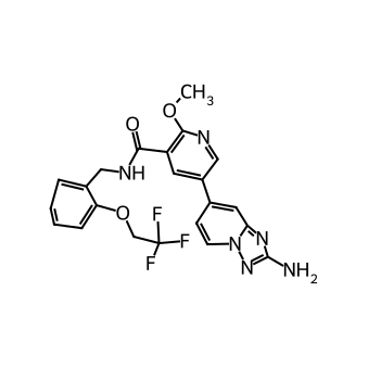 COc1ncc(-c2ccn3nc(N)nc3c2)cc1C(=O)NCc1ccccc1OCC(F)(F)F